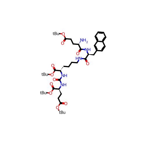 CC(C)(C)OC(=O)CC[C@H](NC(=O)N[C@@H](CCCCNC(=O)[C@H](Cc1ccc2ccccc2c1)NC(=O)[C@@H](N)CCC(=O)OC(C)(C)C)C(=O)OC(C)(C)C)C(=O)OC(C)(C)C